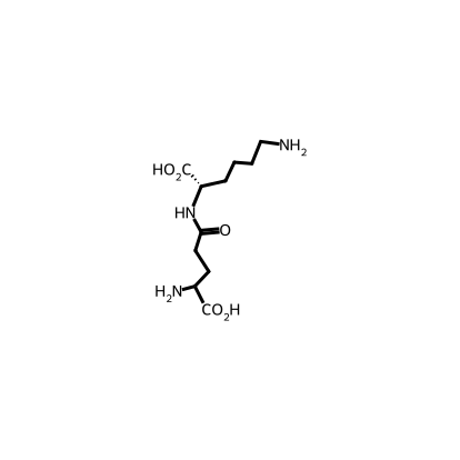 NCCCC[C@H](NC(=O)CCC(N)C(=O)O)C(=O)O